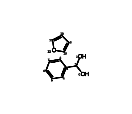 OC(O)c1ccccc1.c1ccoc1